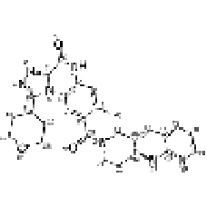 Cc1cc2[nH]c(=O)c3nnc(C4CCOCC4)n3c2cc1C(=O)N1CCc2nc3ncccc3cc2C1